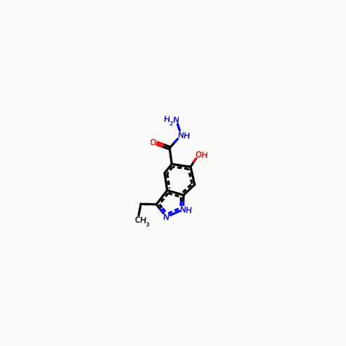 CCc1n[nH]c2cc(O)c(C(=O)NN)cc12